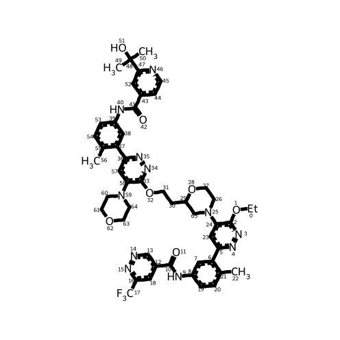 CCOc1nnc(-c2cc(NC(=O)c3cnnc(C(F)(F)F)c3)ccc2C)cc1N1CCOC(CCOc2nnc(-c3cc(NC(=O)c4ccnc(C(C)(C)O)c4)ccc3C)cc2N2CCOCC2)C1